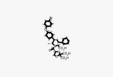 C[C@H]([C@H](CCc1ccccc1)c1ccc(Oc2ccc(Br)cc2)cc1)N(CC(=O)O)C(=O)[C@@H]1COC(C(=O)O)(C(=O)O)O1